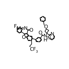 CNC(=O)c1c(-c2ccc(F)cc2)oc2cc(CCC(F)(F)F)c(-c3cccc(C(=O)NC4(c5ncccn5)CC(OCc5ccccc5)C4)c3)cc12